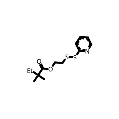 CCC(C)(C)C(=O)OCCSSc1ccccn1